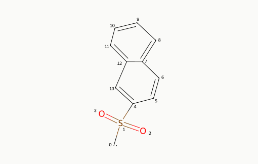 [CH2]S(=O)(=O)c1ccc2ccccc2c1